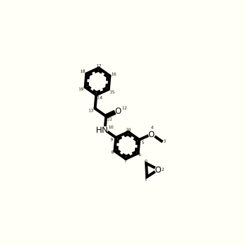 C1CO1.COc1cccc(NC(=O)Cc2ccccc2)c1